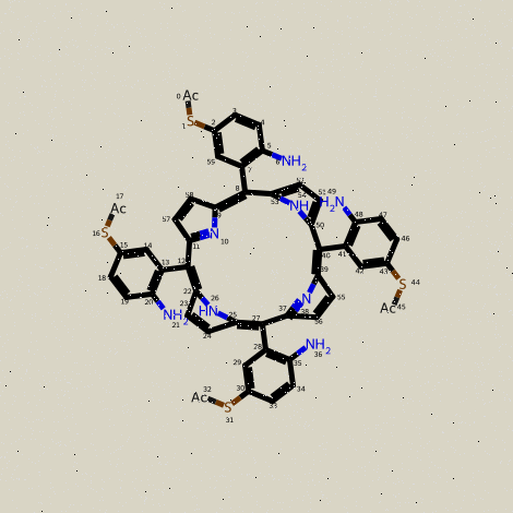 CC(=O)Sc1ccc(N)c(-c2c3nc(c(-c4cc(SC(C)=O)ccc4N)c4ccc([nH]4)c(-c4cc(SC(C)=O)ccc4N)c4nc(c(-c5cc(SC(C)=O)ccc5N)c5ccc2[nH]5)C=C4)C=C3)c1